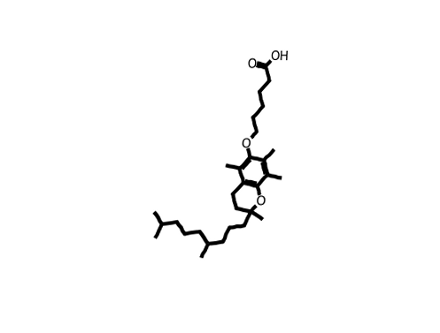 Cc1c(C)c2c(c(C)c1OCCCCCC(=O)O)CCC(C)(CCCC(C)CCCC(C)C)O2